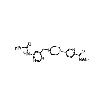 CCCC(=O)Nc1cc(CN2CCN(c3ccc(C(=O)NC)nc3)CC2)ncn1